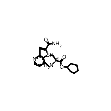 Cc1ccnc2c1[SH](C[C@H](N)C(=O)OC1CCCCC1)C(C(N)=O)=C2